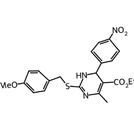 CCOC(=O)C1=C(C)N=C(SCc2ccc(OC)cc2)NC1c1ccc([N+](=O)[O-])cc1